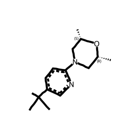 C[C@@H]1CN(c2ccc(C(C)(C)C)cn2)C[C@H](C)O1